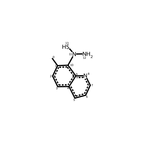 Cc1ccc2cccnc2c1N(N)S